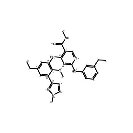 CCc1cccc(Nc2ncc(C(=O)NC)c(Nc3cc(CC)cc(-c4ncn(C)n4)c3OC)n2)c1